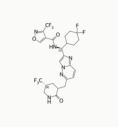 O=C(N[C@H](c1cn2nc(CC3C[C@@H](C(F)(F)F)CNC3=O)ccc2n1)C1CCC(F)(F)CC1)c1conc1C(F)(F)F